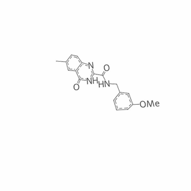 COc1cccc(CNC(=O)c2nc3ccc(C)cc3c(=O)[nH]2)c1